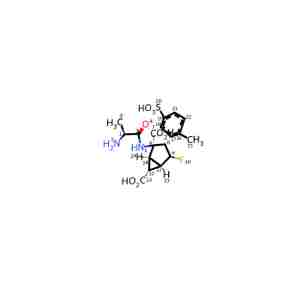 C[C@H](N)C(=O)N[C@@]1(C(=O)O)C[C@@H](F)[C@H]2[C@H](C(=O)O)[C@H]21.Cc1ccc(S(=O)(=O)O)cc1